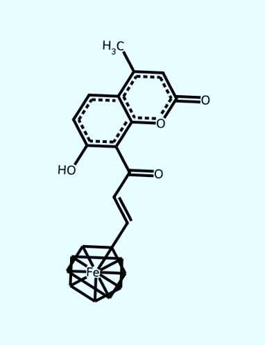 Cc1cc(=O)oc2c(C(=O)C=C[C]34[CH]5[CH]6[CH]7[CH]3[Fe]6754389%10[CH]4[CH]3[CH]8[CH]9[CH]4%10)c(O)ccc12